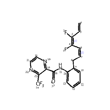 C=C/C(F)=C(F)\C=C/Cc1ccccc1NC(=O)c1nccnc1C(F)(F)F